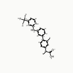 Cc1cc(C(C)C(=O)O)ccc1-c1cccc(Nc2nccc(C(F)(F)F)n2)c1